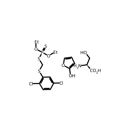 CCOP(=S)(OCC)SCSc1cc(Cl)ccc1Cl.N[C@@H](CO)C(=O)O.Oc1ccco1